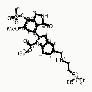 CCN(CC)CCCNCc1ccc2c(c1)cc(-c1cc(OC)c(OS(C)(=O)=O)c3c1C(=O)NC3)n2C(=O)OC(C)(C)C